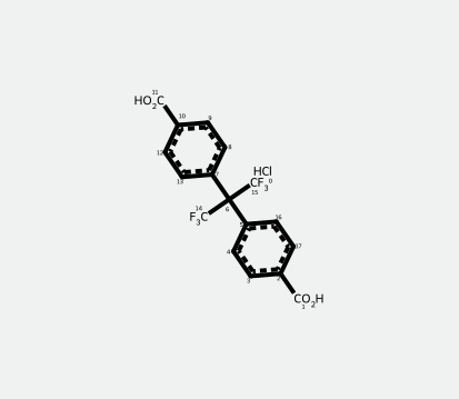 Cl.O=C(O)c1ccc(C(c2ccc(C(=O)O)cc2)(C(F)(F)F)C(F)(F)F)cc1